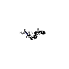 C=N/C(=C\C=C(/C)F)CC(=O)Nc1nnc([C@H]2CCC[C@H](c3nnc(NC(=O)Cc4ccc(F)cn4)s3)C2)s1